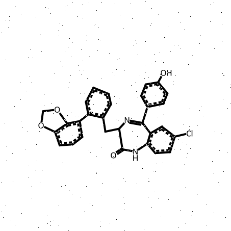 O=C1Nc2ccc(Cl)cc2C(c2ccc(O)cc2)=NC1Cc1ccccc1-c1cccc2c1OCO2